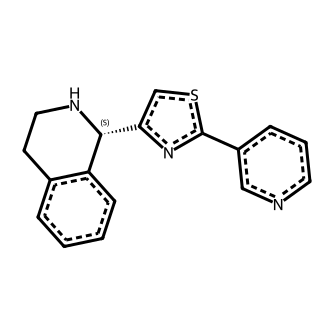 c1cncc(-c2nc([C@H]3NCCc4ccccc43)cs2)c1